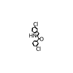 O=C(c1cccc(Cl)c1)c1cc2cc(Cl)ccc2[nH]1